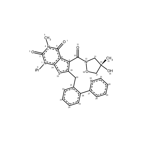 CC(C)n1c(=O)n(C)c(=O)c2c(C(=O)N3C[C@](C)(O)CO3)c(Cc3ccccc3-c3ccccn3)sc21